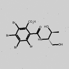 C[C@H](O)[C@H](CO)NC(=O)c1c(Br)c(Br)c(Br)c(Br)c1C(=O)O